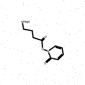 CCCCCCCCCCC(=O)On1ccccc1=S